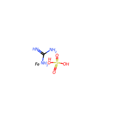 N=C(N)N.O=S(=O)(O)O.[Fe]